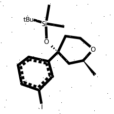 C[C@H]1C[C@@](O[Si](C)(C)C(C)(C)C)(c2cccc(I)c2)CCO1